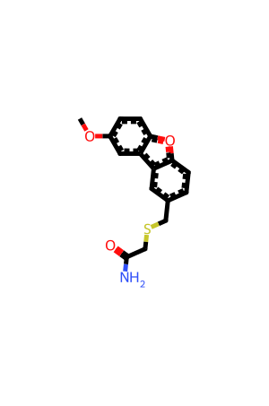 COc1ccc2oc3ccc(CSCC(N)=O)cc3c2c1